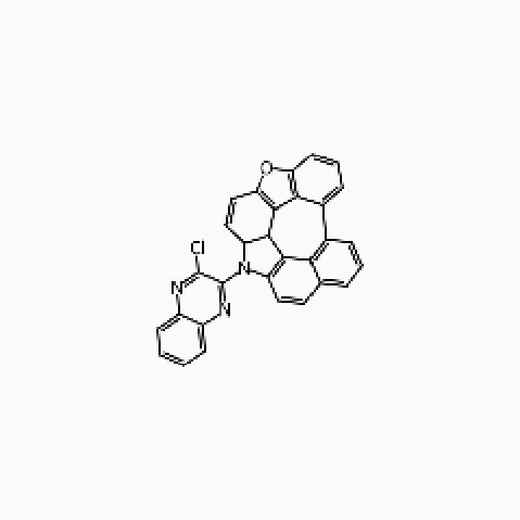 Clc1nc2ccccc2nc1N1c2ccc3cccc4c3c2C2c3c(oc5cccc-4c35)C=CC21